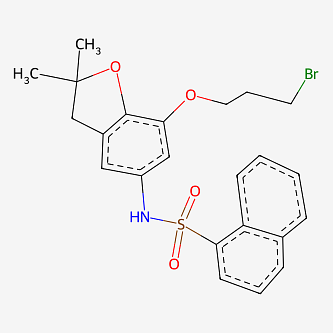 CC1(C)Cc2cc(NS(=O)(=O)c3cccc4ccccc34)cc(OCCCBr)c2O1